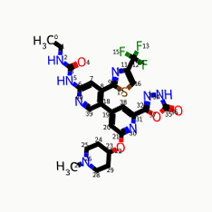 CCNC(=O)Nc1cc(-c2nc(C(F)(F)F)cs2)c(-c2cc(OC3CCN(C)CC3)nc(-c3n[nH]c(=O)o3)c2)cn1